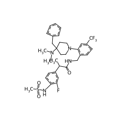 CC(C(=O)NCc1ccc(C(F)(F)F)cc1N1CCC(Cc2ccccc2)(N(C)C)CC1)c1ccc(NS(C)(=O)=O)c(F)c1